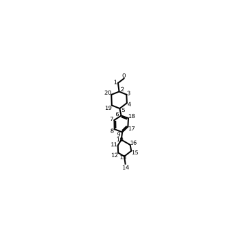 CCC1CCC(c2ccc(C3CCC(C)CC3)cc2)CC1